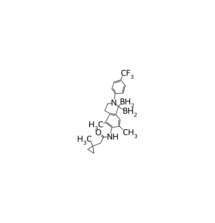 BC1(B)c2cc(C)c(NC(=O)CC3(C)CC3)c(C)c2CCN1c1ccc(C(F)(F)F)cc1